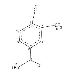 CC(c1ccc(Cl)c(C(F)(F)F)c1)C(C)(C)C